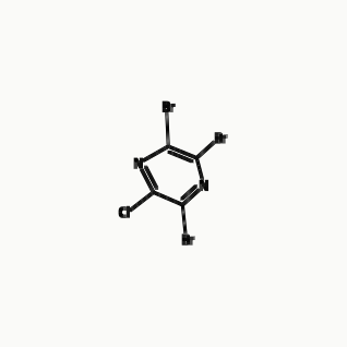 Clc1nc(Br)c(Br)nc1Br